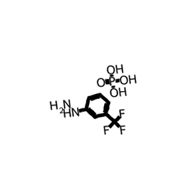 NNc1cccc(C(F)(F)F)c1.O=P(O)(O)O